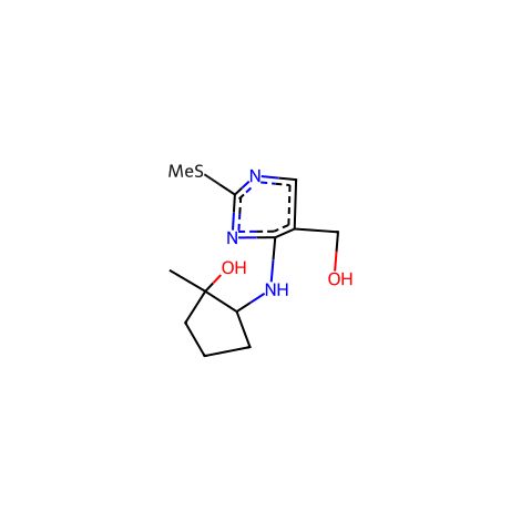 CSc1ncc(CO)c(NC2CCCC2(C)O)n1